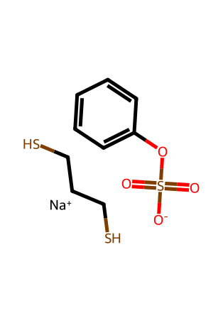 O=S(=O)([O-])Oc1ccccc1.SCCCS.[Na+]